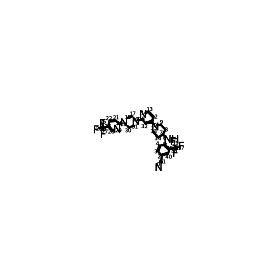 N#Cc1ccc(NC2CCN(c3ccnc(N4CCN(c5ccc(C(F)(F)F)cn5)CC4)c3)CC2)c(C(F)(F)F)c1